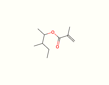 C=C(C)C(=O)OC(C)C(C)CC